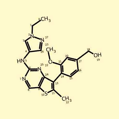 CCn1cc(Nc2ncc3sc(C)c(-c4ccc(CO)cc4OC)c3n2)cn1